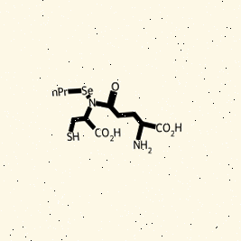 CCC[Se]N(C(=O)CCC(N)C(=O)O)C(CS)C(=O)O